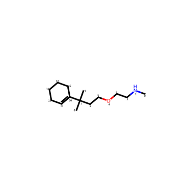 CNCCOCCC(C)(C)C1=CCCCC1